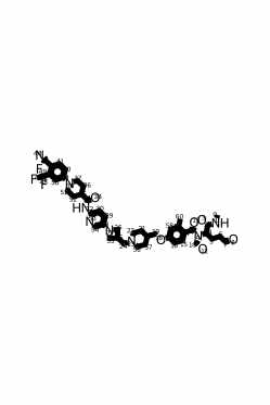 CNC(=O)C(CCC=O)N(C=O)C(=O)c1ccc(OCC2CCN(CC3CN(c4ccc(NC(=O)C5CCN(c6ccc(C#N)c(C(F)(F)F)c6)CC5)nc4)C3)CC2)cc1C